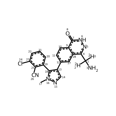 [2H]C([2H])(N)c1n[nH]c(=O)c2ccc(-c3cnn(C)c3-c3cccc(Cl)c3C#N)cc12